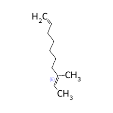 C=CCCCCC/C(C)=C/C